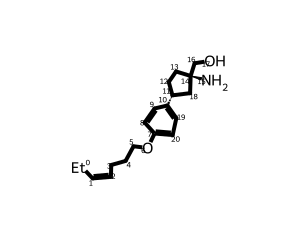 CC/C=C\CCCOc1ccc([C@@H]2CC[C@](N)(CO)C2)cc1